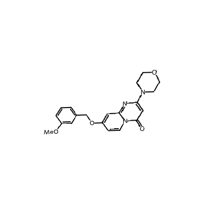 COc1cccc(COc2ccn3c(=O)cc(N4CCOCC4)nc3c2)c1